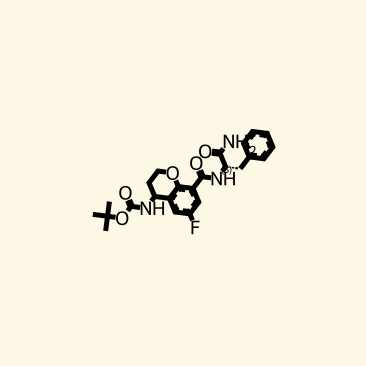 CC(C)(C)OC(=O)NC1CCOc2c(C(=O)N[C@@H](Cc3ccccc3)C(N)=O)cc(F)cc21